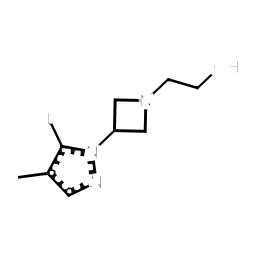 Cc1cnn(C2CN(CCO)C2)c1I